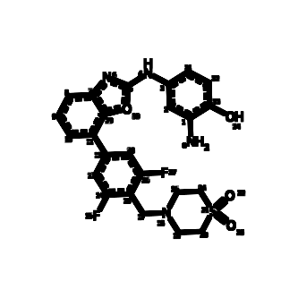 Nc1cc(Nc2nc3cccc(-c4cc(F)c(CN5CCS(=O)(=O)CC5)c(F)c4)c3o2)ccc1O